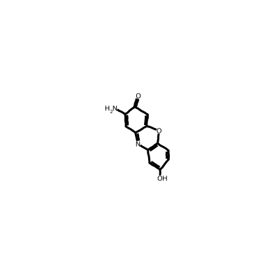 Nc1cc2nc3cc(O)ccc3oc-2cc1=O